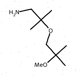 COC(C)(C)COC(C)(C)CN